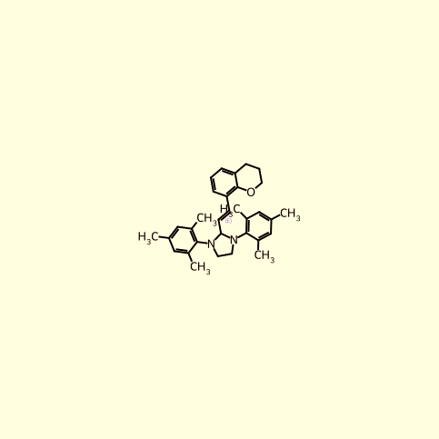 Cc1cc(C)c(N2CCN(c3c(C)cc(C)cc3C)C2/C=C/c2cccc3c2OCCC3)c(C)c1